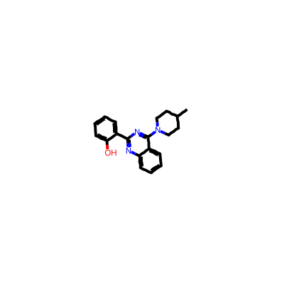 CC1CCN(c2nc(-c3ccccc3O)nc3ccccc23)CC1